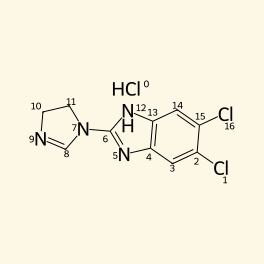 Cl.Clc1cc2nc(N3C=NCC3)[nH]c2cc1Cl